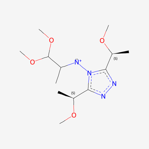 COC(OC)C(C)[N+]n1c([C@H](C)OC)nnc1[C@H](C)OC